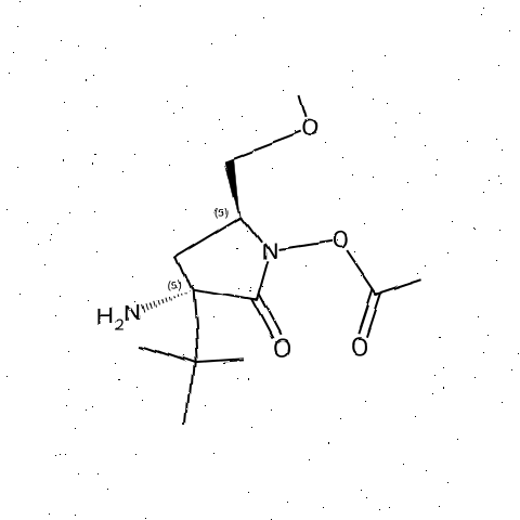 COC[C@@H]1C[C@](N)(C(C)(C)C)C(=O)N1OC(C)=O